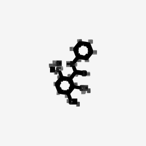 Cc1ccc(C)c(C(=O)Pc2ccccc2)c1C.[LiH]